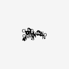 CSc1nc2c(c(N3CCCn4nc(C(=O)N(C)C)cc4C3)n1)COC1(CCCc3c(Cl)cc(NC(=O)OC(C)(C)C)c(F)c31)C2